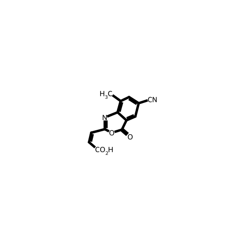 Cc1cc(C#N)cc2c(=O)oc(/C=C\C(=O)O)nc12